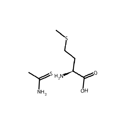 CC(N)=S.CSCC[C@H](N)C(=O)O